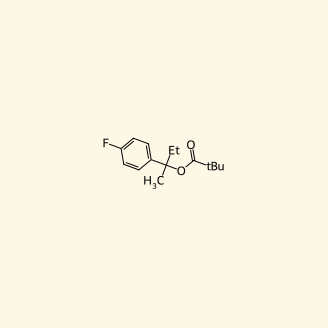 CCC(C)(OC(=O)C(C)(C)C)c1ccc(F)cc1